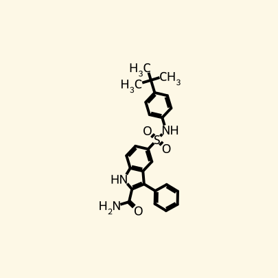 CC(C)(C)c1ccc(NS(=O)(=O)c2ccc3[nH]c(C(N)=O)c(-c4ccccc4)c3c2)cc1